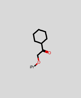 CC(C)OCC(=O)C1CCCCC1